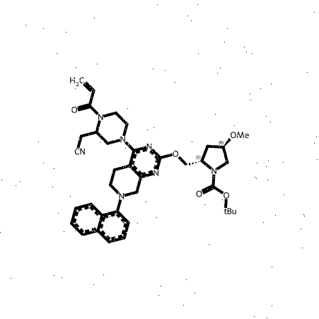 C=CC(=O)N1CCN(c2nc(OC[C@@H]3C[C@@H](OC)CN3C(=O)OC(C)(C)C)nc3c2CCN(c2cccc4ccccc24)C3)CC1CC#N